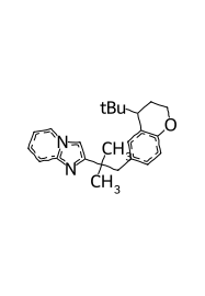 CC(C)(Cc1ccc2c(c1)C(C(C)(C)C)CCO2)c1cn2ccccc2n1